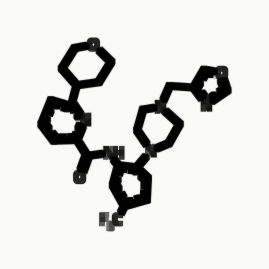 O=C(Nc1cc(C(F)(F)F)ccc1N1CCN(Cc2cocn2)CC1)c1cccc(C2CCOCC2)n1